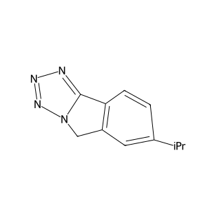 CC(C)c1ccc2c(c1)Cn1nnnc1-2